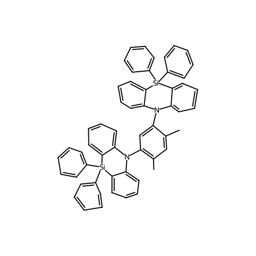 Cc1cc(C)c(N2c3ccccc3[Si](c3ccccc3)(c3ccccc3)c3ccccc32)cc1N1c2ccccc2[Si](c2ccccc2)(c2ccccc2)c2ccccc21